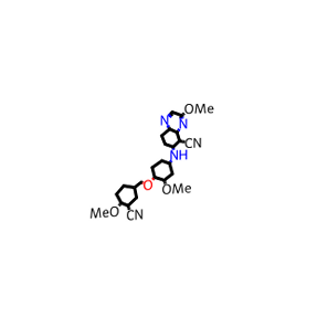 COC1=NC2C(CCC(NC3CCC(OCC4CCC(OC)C(C#N)C4)C(OC)C3)C2C#N)N=C1